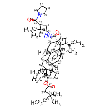 C=C(C)[C@@H]1CC[C@]2(C(=O)N[C@@H]3CC(C(=O)N4CCCC4)C3(C)C)CC[C@]3(C)[C@H](CC[C@@H]4[C@@]5(C)CC[C@H](OC(=O)CC(C)(C)C(=O)O)C(C)(C)[C@@H]5CC[C@]43C)[C@@H]12